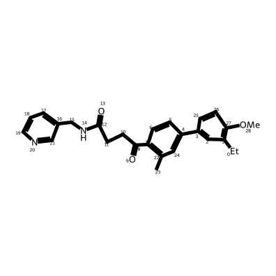 CCc1cc(-c2ccc(C(=O)CCC(=O)NCc3cccnc3)c(C)c2)ccc1OC